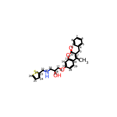 Cc1c(Cc2ccccc2)c(=O)oc2cc(OCC(O)CNCc3cccs3)ccc12